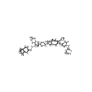 B=CN(C)Cc1ccc(-n2cc3cc(-c4ccc(S(=O)(=O)N(CCCc5ccc6nonc6c5)C5CCNCC5)cc4)[nH]c3nc2=O)cc1